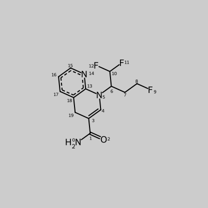 NC(=O)C1=CN(C(CCF)C(F)F)c2ncccc2C1